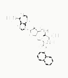 COC(=O)[C@H](C)NP(=O)(OC[C@H]1O[C@@H](n2cnc3c(N)ncnc32)CC1O)Oc1cccc2ccccc12